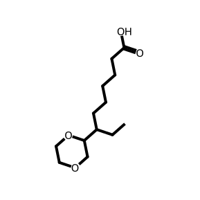 CCC(CCCCCC(=O)O)C1COCCO1